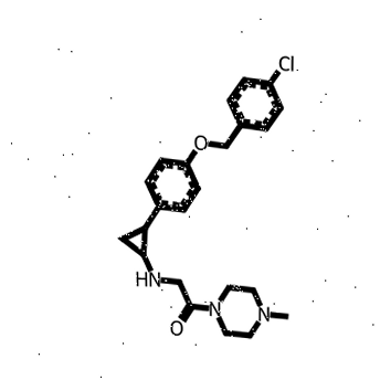 CN1CCN(C(=O)CNC2CC2c2ccc(OCc3ccc(Cl)cc3)cc2)CC1